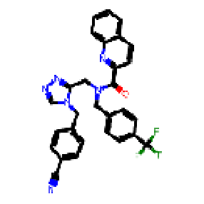 N#Cc1ccc(Cn2cnnc2CN(Cc2ccc(C(F)(F)F)cc2)C(=O)c2ccc3ccccc3n2)cc1